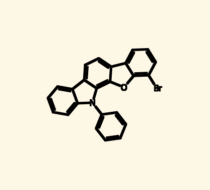 Brc1cccc2c1oc1c2ccc2c3ccccc3n(-c3ccccc3)c21